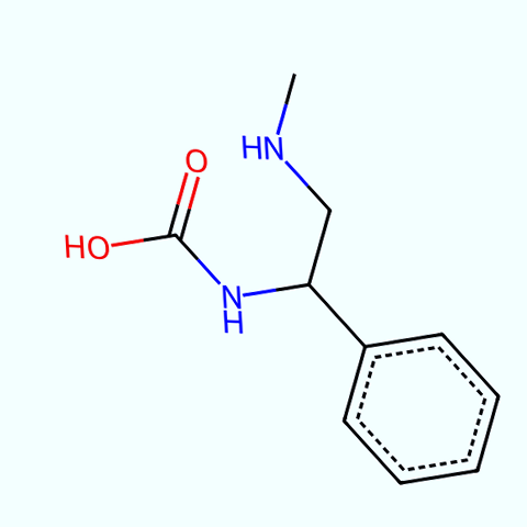 CNCC(NC(=O)O)c1ccccc1